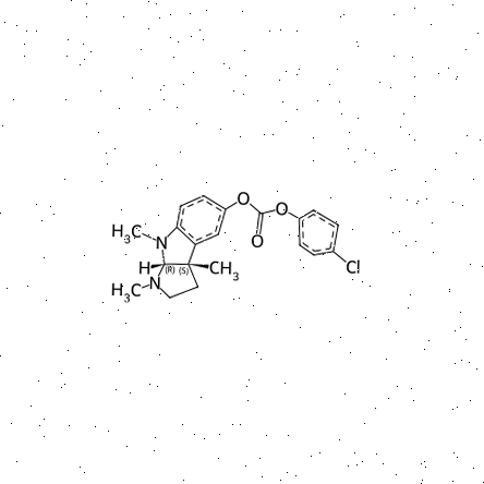 CN1CC[C@@]2(C)c3cc(OC(=O)Oc4ccc(Cl)cc4)ccc3N(C)[C@@H]12